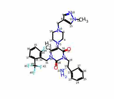 Cc1c(N2CCN(Cc3cnn(C)c3)CC2)c(=O)n(C[C@@H](N)c2ccccc2)c(=O)n1Cc1c(F)cccc1C(F)(F)F